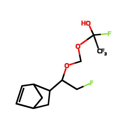 OC(F)(OCOC(CF)C1CC2C=CC1C2)C(F)(F)F